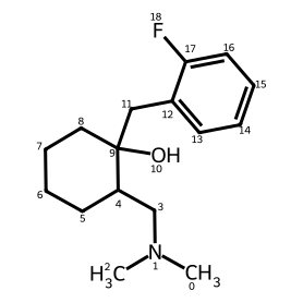 CN(C)CC1CCCCC1(O)Cc1ccccc1F